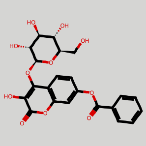 O=C(Oc1ccc2c(O[C@@H]3O[C@H](CO)[C@@H](O)[C@H](O)[C@H]3O)c(O)c(=O)oc2c1)c1ccccc1